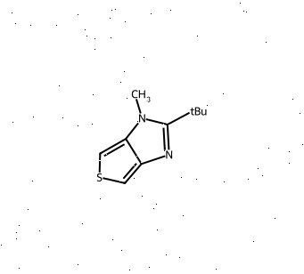 Cn1c(C(C)(C)C)nc2cscc21